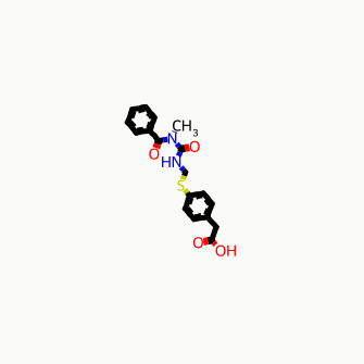 CN(C(=O)NCSc1ccc(CC(=O)O)cc1)C(=O)c1ccccc1